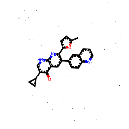 Cc1ccc(-c2nc3[nH]cc(C4CC4)c(=O)c3cc2-c2ccc3ncccc3c2)o1